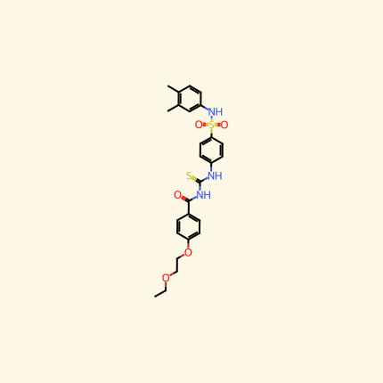 CCOCCOc1ccc(C(=O)NC(=S)Nc2ccc(S(=O)(=O)Nc3ccc(C)c(C)c3)cc2)cc1